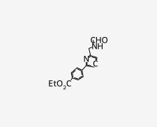 CCOC(=O)c1ccc(-c2cccc(CNC=O)n2)cc1